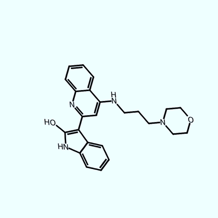 Oc1[nH]c2ccccc2c1-c1cc(NCCCN2CCOCC2)c2ccccc2n1